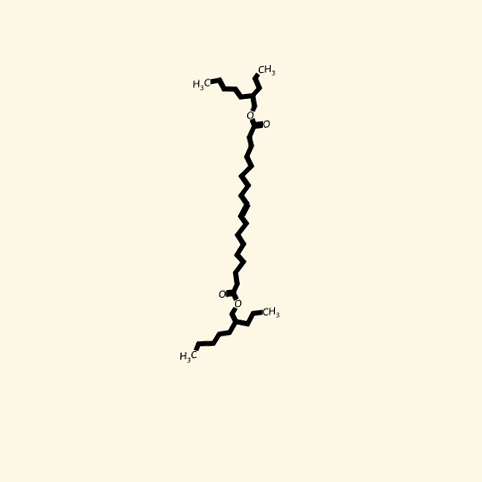 CCCCCC(CCC)COC(=O)CCCCCCCC=CCCCCCCCC(=O)OCC(CCC)CCCCC